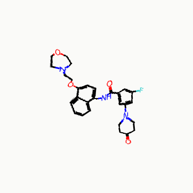 O=C1CCN(c2cc(F)cc(C(=O)Nc3ccc(OCCN4CCOCC4)c4ccccc34)c2)CC1